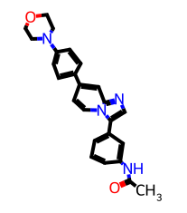 CC(=O)Nc1cccc(-c2cnc3cc(-c4ccc(N5CCOCC5)cc4)ccn23)c1